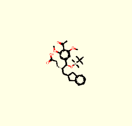 COc1cc([C@@H](O[Si](C)(C)C(C)(C)C)[C@@H](CCC(=O)O)CC2Cc3ccccc3C2)cc(OC)c1C(C)=O